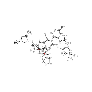 CN1C[C@H](O)C[C@H]1COc1nc(N2CC3CCC(C2)N3C(=O)OC(C)(C)C)c2cc(Cl)c(-c3ccc(F)c4sc(NC(=O)OC(C)(C)C)nc34)c(F)c2n1